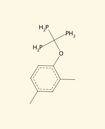 Cc1ccc(OC(P)(P)P)c(C)c1